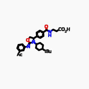 CC(=O)c1cccc(N=C2OCC(c3ccc(C(=O)NCCC(=O)O)cc3)N2C2CCC(C(C)(C)C)CC2)c1